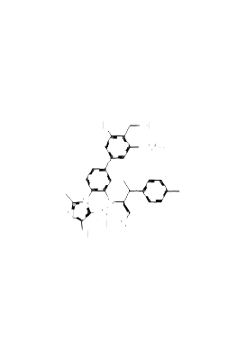 CSc1cc(-c2ccc(-n3cc(C(F)(F)F)nc3C)c(N(N)/C(=C\N)C(C)c3ccc(C)cc3)c2)cc(F)c1CO